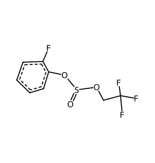 O=S(OCC(F)(F)F)Oc1ccccc1F